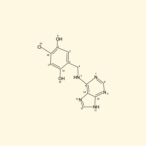 Oc1cc(CNc2ncnc3[nH]cnc23)c(O)cc1Cl